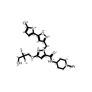 CC(C)N1CCC(NC(=O)c2cc(OCC(F)(F)CO)nn2Cc2cc(-c3ccc(Cl)s3)on2)CC1